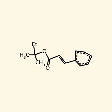 CCC(C)(C)OC(=O)/C=C/c1ccccc1